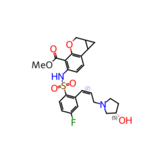 COC(=O)c1c(NS(=O)(=O)c2ccc(F)cc2/C=C\CN2CC[C@H](O)C2)ccc2c1OCC1CC21